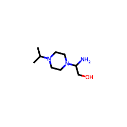 CC(C)N1CCN(C(N)CO)CC1